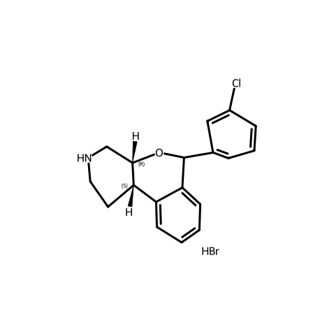 Br.Clc1cccc(C2O[C@H]3CNCC[C@H]3c3ccccc32)c1